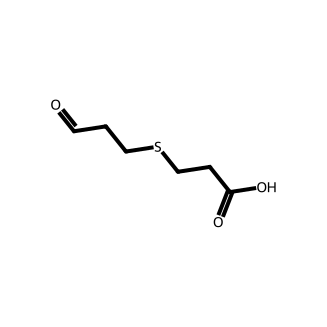 O=CCCSCCC(=O)O